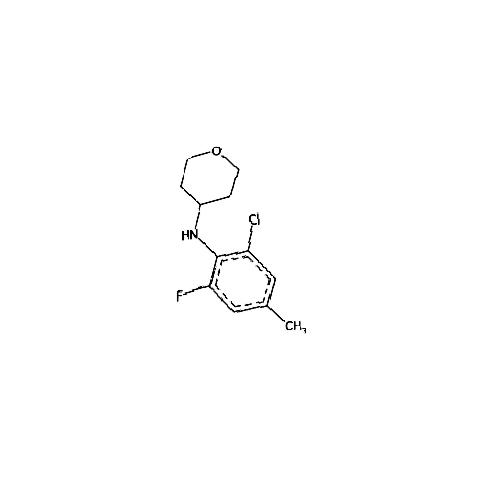 Cc1cc(F)c(NC2CCOCC2)c(Cl)c1